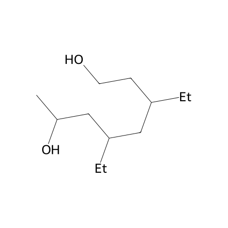 CCC(CCO)CC(CC)CC(C)O